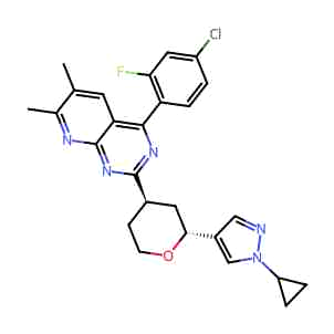 Cc1cc2c(-c3ccc(Cl)cc3F)nc([C@@H]3CCO[C@@H](c4cnn(C5CC5)c4)C3)nc2nc1C